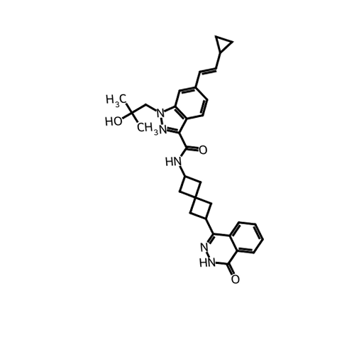 CC(C)(O)Cn1nc(C(=O)NC2CC3(C2)CC(c2n[nH]c(=O)c4ccccc24)C3)c2ccc(C=CC3CC3)cc21